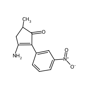 CC1CC(N)=C(c2cccc([N+](=O)[O-])c2)C1=O